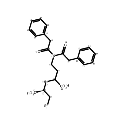 CC(C)C[C@H](NC(CCN(C(=O)Cc1ccccc1)C(=O)Cc1ccccc1)C(=O)O)C(=O)O